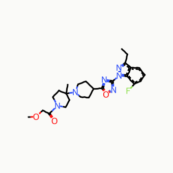 CCc1nn(-c2noc(C3CCN(C4(C)CCN(C(=O)COC)CC4)CC3)n2)c2c(F)cccc12